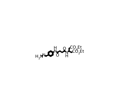 CCOC(=O)CC(CC(=O)OCC)NC(=O)CCC(=O)Nc1ccc(C=NN)cc1